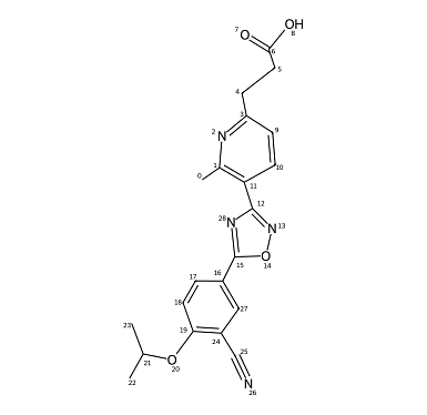 Cc1nc(CCC(=O)O)ccc1-c1noc(-c2ccc(OC(C)C)c(C#N)c2)n1